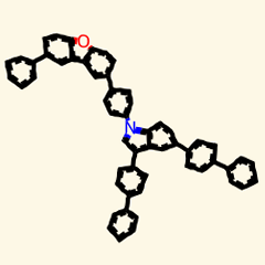 c1ccc(-c2ccc(-c3ccc4c(c3)c(-c3ccc(-c5ccccc5)cc3)cn4-c3ccc(-c4ccc5oc6ccc(-c7ccccc7)cc6c5c4)cc3)cc2)cc1